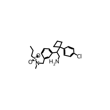 CCCS(=O)(=O)N(C)Cc1cccc(C(CN)C2(c3ccc(Cl)cc3)CCC2)c1